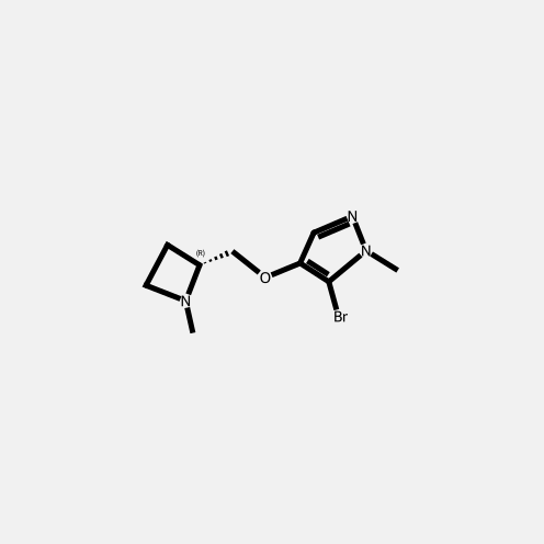 CN1CC[C@@H]1COc1cnn(C)c1Br